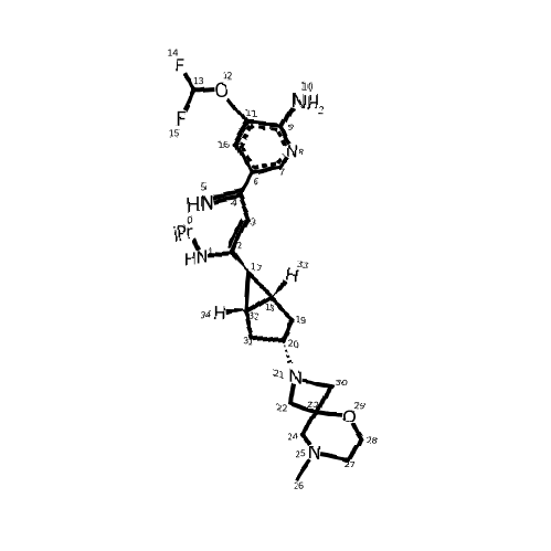 CC(C)N/C(=C\C(=N)c1cnc(N)c(OC(F)F)c1)[C@H]1[C@@H]2C[C@H](N3CC4(CN(C)CCO4)C3)C[C@@H]21